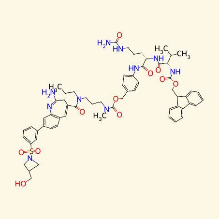 CCCN(CCCN(C)C(=O)OCc1ccc(NC(=O)[C@H](CCCNC(N)=O)NC(=O)[C@@H](NC(=O)OCC2c3ccccc3-c3ccccc32)C(C)C)cc1)C(=O)C1=Cc2ccc(-c3cccc(S(=O)(=O)N4CC(CO)C4)c3)cc2N=C(N)C1